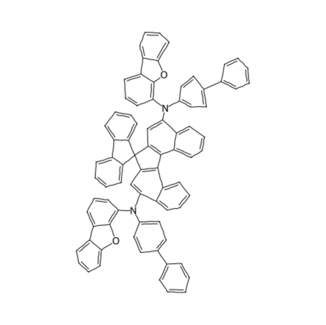 c1ccc(-c2ccc(N(c3cc4c(c5ccccc35)-c3c(cc(N(c5ccc(-c6ccccc6)cc5)c5cccc6c5oc5ccccc56)c5ccccc35)C43c4ccccc4-c4ccccc43)c3cccc4c3oc3ccccc34)cc2)cc1